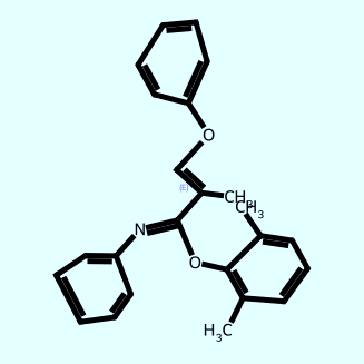 C/C(=C\Oc1ccccc1)C(=Nc1ccccc1)Oc1c(C)cccc1C